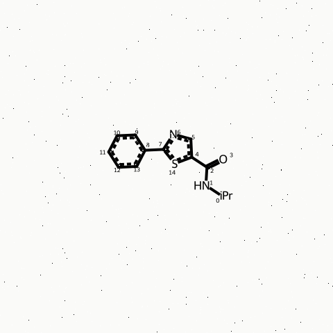 CC(C)NC(=O)c1cnc(-c2ccccc2)s1